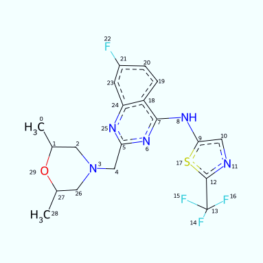 CC1CN(Cc2nc(Nc3cnc(C(F)(F)F)s3)c3ccc(F)cc3n2)CC(C)O1